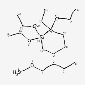 CCCCO[SiH3].CCOC1(CC)CCCC[Si]1(OCC)OCC